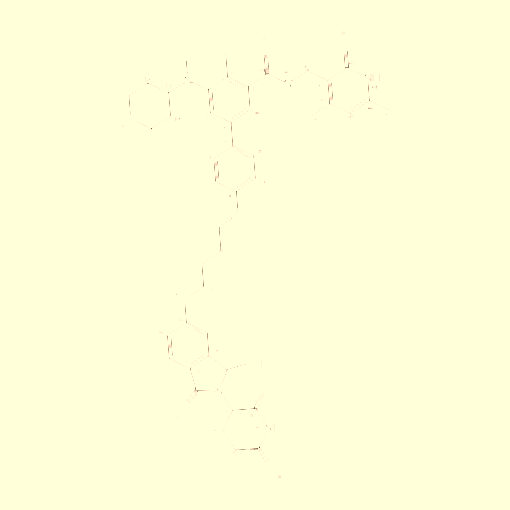 CCN(c1cc(-c2ccc(OCCCCOc3ccc4c(c3)C(O)N(C3CCC(=O)NC3=O)C4=O)cc2)cc(C(=O)NCc2c(C)cc(C)[nH]c2=O)c1C)C1CCOCC1